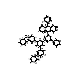 c1ccc(-c2cc(-c3c4ccccc4c(-c4ccncc4)c4ccccc34)nc(-c3cc(-c4ccc5oc6ccccc6c5c4)cc(-c4ccc5oc6ccccc6c5c4)c3)n2)cc1